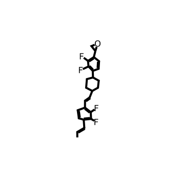 C/C=C/c1ccc(/C=C/C2CCC(c3ccc(C4CO4)c(F)c3F)CC2)c(F)c1F